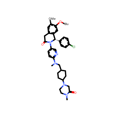 CCC(C)Oc1cc2c(cc1OC)CC(=O)N(c1ccc(N(C)CC3CCC(N4CCN(C)C(=O)C4)CC3)nc1)[C@H]2c1ccc(Cl)cc1